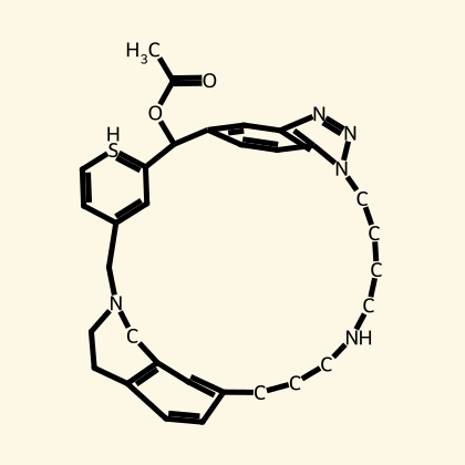 CC(=O)OC1C2=[SH]C=CC(=C2)CN2CCc3ccc(cc3C2)CCCNCCCCn2nnc3cc1ccc32